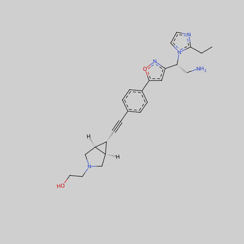 CCc1nccn1[C@H](CN)c1cc(-c2ccc(C#C[C@@H]3[C@H]4CN(CCO)C[C@@H]34)cc2)on1